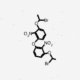 CC(Br)Oc1cccc(Oc2cccc(OC(C)Br)c2[N+](=O)[O-])c1[N+](=O)[O-]